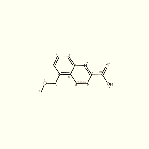 COCc1cccc2nc(C(=O)O)ccc12